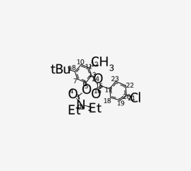 CCN(CC)C(=O)Oc1cc(C(C)(C)C)cc(C)c1OC(=O)c1ccc(Cl)cc1